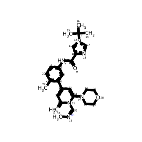 C=C1C=C(c2cc(NC(=O)c3cn(C(C)(C)C)cn3)ccc2C)C=C(N2CCOCC2)N1/C=N\C